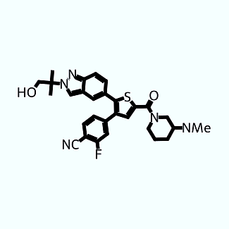 CNC1CCCN(C(=O)c2cc(-c3ccc(C#N)c(F)c3)c(-c3ccc4nn(C(C)(C)CO)cc4c3)s2)C1